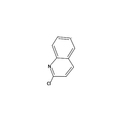 Clc1ccc2c[c]ccc2n1